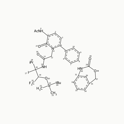 CC(=O)Nc1ccc(-c2ccccc2)n(CC(=O)NC(I)(C(C)C)C(O[Si](C)(C)C(C)(C)C)C(F)(F)F)c1=O.O=C1Nc2cccc(c2)CO1